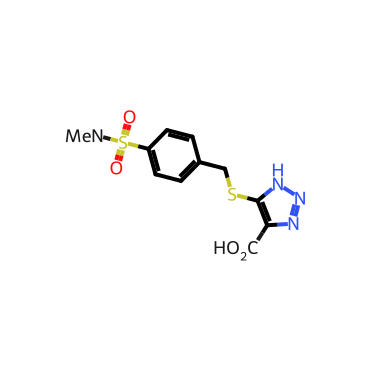 CNS(=O)(=O)c1ccc(CSc2[nH]nnc2C(=O)O)cc1